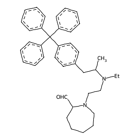 CCN(CCN1CCCCCC1C=O)C(C)Cc1ccc(C(c2ccccc2)(c2ccccc2)c2ccccc2)cc1